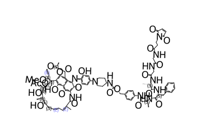 CO[C@H]1/C=C/O[C@@]2(C)Oc3c4c(O)c5c(=O)c(c6oc7cc(N8CCC(NC(=O)OCc9ccc(NC(=O)[C@H](C)NC(=O)[C@H](Cc%10ccccc%10)NC(=O)[C@H](C)NC(=O)CNC(=O)CNC(=O)CCN%10C(=O)C=CC%10=O)cc9)CC8)cc(O)c7nc-6c5c3C2=O)NC(=O)/C(C)=C\C=C\[C@H](C)[C@H](O)[C@@H](C)[C@@H](O)[C@@H](C)[C@H](OC(C)=O)[C@@]41C